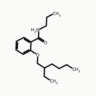 CCCCC(CC)COc1ccccc1C(=O)[SiH2]CCC